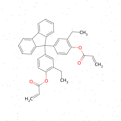 C=CC(=O)Oc1ccc(C2(c3ccc(OC(=O)C=C)c(CC)c3)c3ccccc3-c3ccccc32)cc1CC